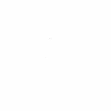 O=CCCc1cc(Br)c[nH]1